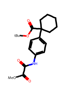 COC(=O)C(=O)Nc1ccc(C2(C(=O)OC(C)(C)C)CCCCC2)cc1